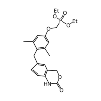 CCOP(=O)(COc1cc(C)c(Cc2ccc3c(c2)COC(=O)N3)c(C)c1)OCC